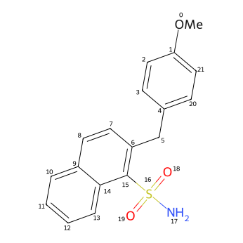 COc1ccc(Cc2ccc3ccccc3c2S(N)(=O)=O)cc1